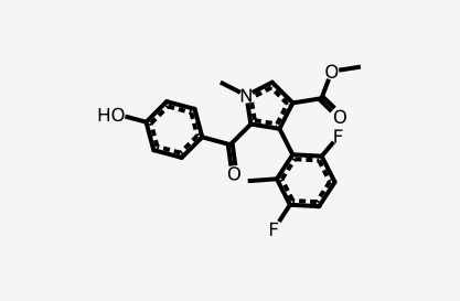 COC(=O)c1cn(C)c(C(=O)c2ccc(O)cc2)c1-c1c(F)ccc(F)c1C